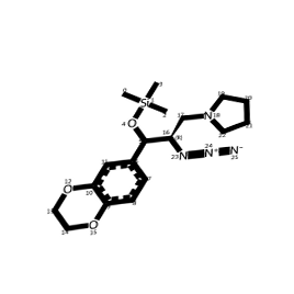 C[Si](C)(C)OC(c1ccc2c(c1)OCCO2)[C@@H](CN1CCCC1)N=[N+]=[N-]